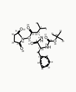 CC(C)[C@H](NC(=O)[C@H](Cc1ccccc1)NC(=O)OC(C)(C)C)C(=O)ON1C(=O)CCC1=O